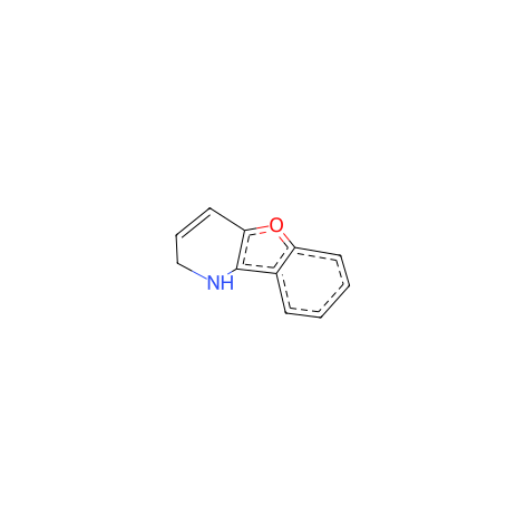 C1=Cc2oc3ccccc3c2NC1